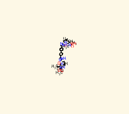 COC(=O)N[C@@H](C(=O)N1[C@H](c2ncc(-c3ccc(-c4ccc(-c5cnc([C@@H]6C[C@@H]7C[C@@H]7N6C(=O)[C@@H](C(C)C)N(C)C(=O)O)[nH]5)cc4)cc3)[nH]2)C[C@@H]2C[C@@H]21)C(C)C